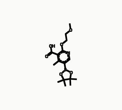 COCCOc1ncc(B2OC(C)(C)C(C)(C)O2)c(C)c1C(=O)O